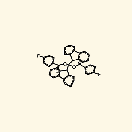 O=C([O][Ti]([O]C(=O)c1ccc(F)cc1)([CH]1c2ccccc2-c2ccccc21)[CH]1c2ccccc2-c2ccccc21)c1ccc(F)cc1